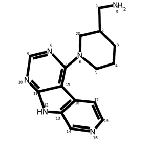 NCC1CCCN(c2ncnc3[nH]c4cnccc4c23)C1